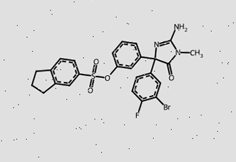 CN1C(=O)C(c2cccc(OS(=O)(=O)c3ccc4c(c3)CCC4)c2)(c2ccc(F)c(Br)c2)N=C1N